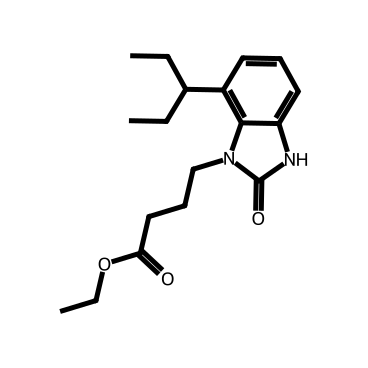 CCOC(=O)CCCn1c(=O)[nH]c2cccc(C(CC)CC)c21